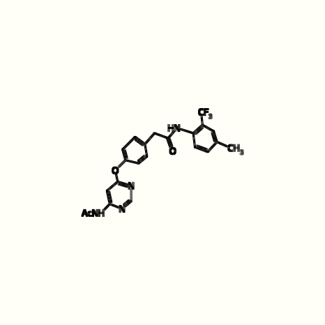 CC(=O)Nc1cc(Oc2ccc(CC(=O)Nc3ccc(C)cc3C(F)(F)F)cc2)ncn1